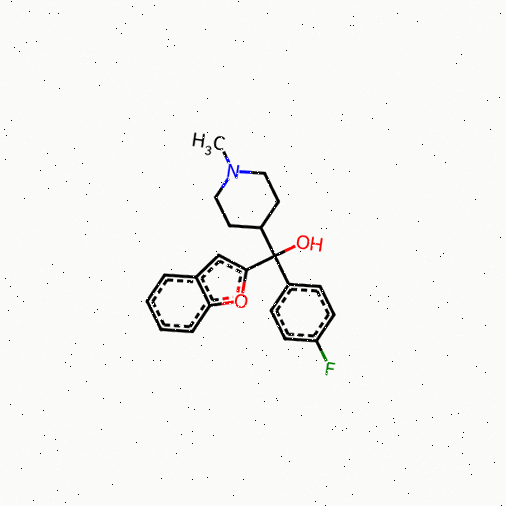 CN1CCC(C(O)(c2ccc(F)cc2)c2cc3ccccc3o2)CC1